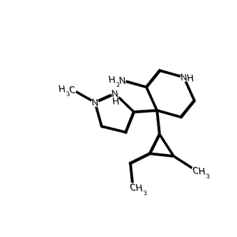 CCC1C(C)C1C1(C2CCN(C)N2)CCNCC1N